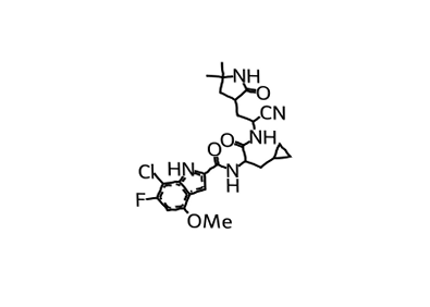 COc1cc(F)c(Cl)c2[nH]c(C(=O)NC(CC3CC3)C(=O)NC(C#N)CC3CC(C)(C)NC3=O)cc12